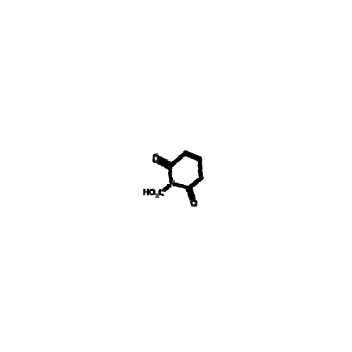 O=C(O)N1C(=O)CCCC1=O